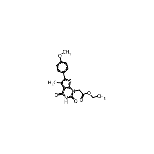 CCOC(=O)Cn1c(=O)[nH]c(=O)c2c(C)c(-c3ccc(OC)cc3)sc21